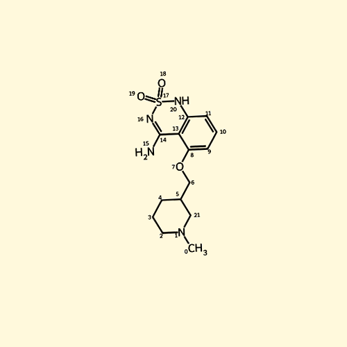 CN1CCCC(COc2cccc3c2C(N)=NS(=O)(=O)N3)C1